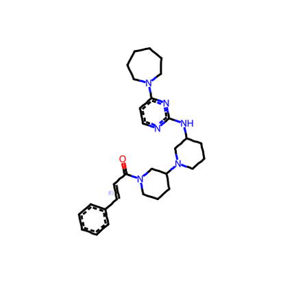 O=C(/C=C/c1ccccc1)N1CCCC(N2CCCC(Nc3nccc(N4CCCCCC4)n3)C2)C1